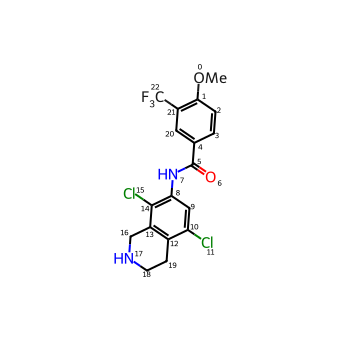 COc1ccc(C(=O)Nc2cc(Cl)c3c(c2Cl)CNCC3)cc1C(F)(F)F